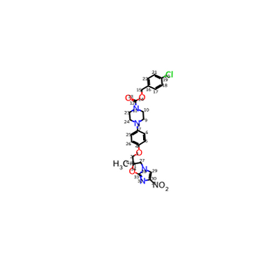 C[C@]1(COc2ccc(N3CCN(C(=O)OCc4ccc(Cl)cc4)CC3)cc2)Cn2cc([N+](=O)[O-])nc2O1